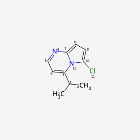 CC(C)c1ccnc2ccc(Cl)n12